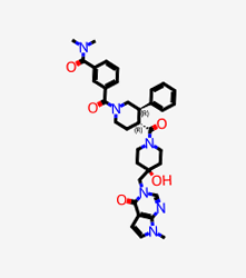 CN(C)C(=O)c1cccc(C(=O)N2CC[C@@H](C(=O)N3CCC(O)(Cn4cnc5c(ccn5C)c4=O)CC3)[C@H](c3ccccc3)C2)c1